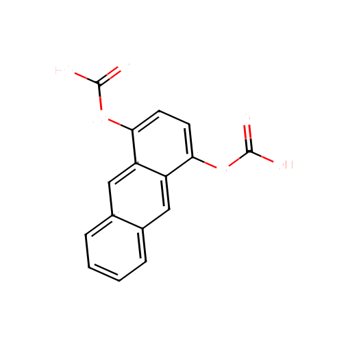 O=C(O)Oc1ccc(OC(=O)O)c2cc3ccccc3cc12